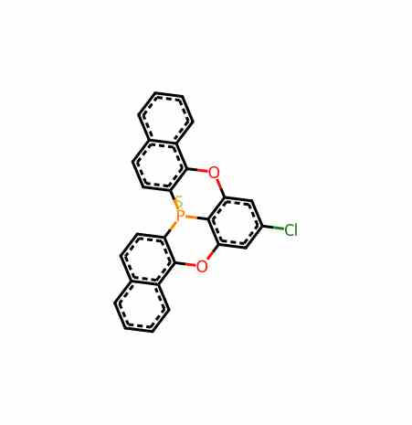 S=P12c3ccc4ccccc4c3Oc3cc(Cl)cc(c31)Oc1c2ccc2ccccc12